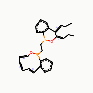 CC/C=C1\C(=C/CC)OP(CCP2O/C=C/C=C\C=C\c3ccccc32)c2ccccc21